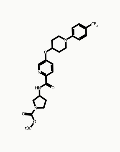 CC(C)(C)OC(=O)N1CCC(NC(=O)c2ccc(OC3CCN(c4ccc(C(F)(F)F)cc4)CC3)cn2)C1